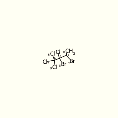 CC(Br)C(Cl)(Br)C(Cl)(Cl)Cl